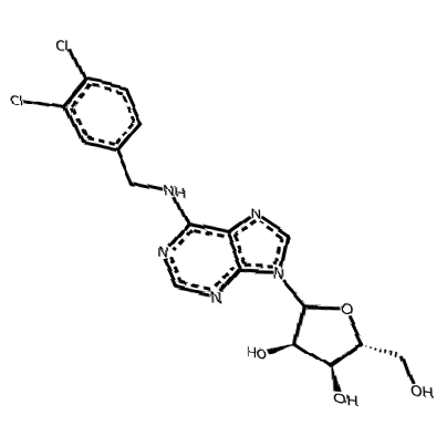 OC[C@H]1OC(n2cnc3c(NCc4ccc(Cl)c(Cl)c4)ncnc32)[C@H](O)[C@@H]1O